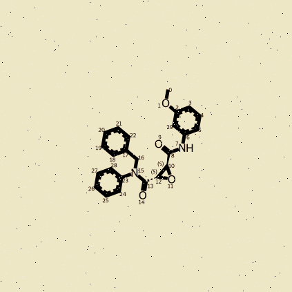 COc1cccc(NC(=O)[C@H]2O[C@@H]2C(=O)N(Cc2ccccc2)c2ccccc2)c1